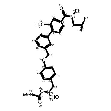 CCN(CC(F)F)C(=O)c1ccc(-c2cccc(COc3ccc(CN(C=O)OC(=O)NC)cc3)c2)c(C)c1